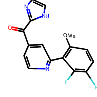 COc1ccc(F)c(F)c1-c1cc(C(=O)c2ncc[nH]2)ccn1